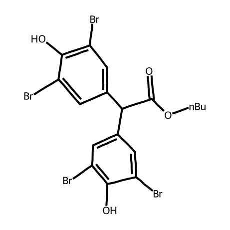 CCCCOC(=O)C(c1cc(Br)c(O)c(Br)c1)c1cc(Br)c(O)c(Br)c1